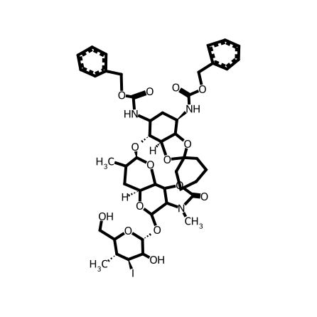 CC1C[C@@H]2OC(O[C@H]3OC(CO)[C@@H](C)[C@H](I)C3O)C3C(OC(=O)N3C)C2O[C@@H]1O[C@@H]1C(NC(=O)OCc2ccccc2)C[C@@H](NC(=O)OCc2ccccc2)C2OC3(CCCCC3)O[C@H]21